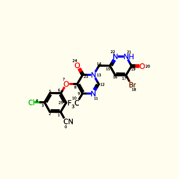 N#Cc1cc(Cl)cc(Oc2c(C(F)(F)F)ncn(Cc3cc(Br)c(=O)[nH]n3)c2=O)c1